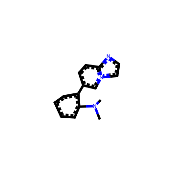 CN(C)c1ccccc1-c1ccc2nccn2c1